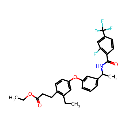 CCOC(=O)CCc1ccc(Oc2cccc(C(C)NC(=O)c3ccc(C(F)(F)F)cc3F)c2)cc1CC